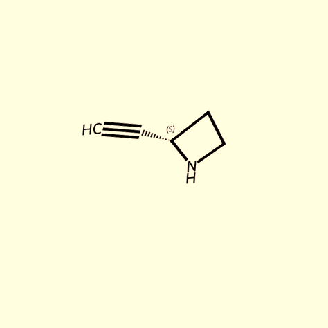 C#C[C@@H]1CCN1